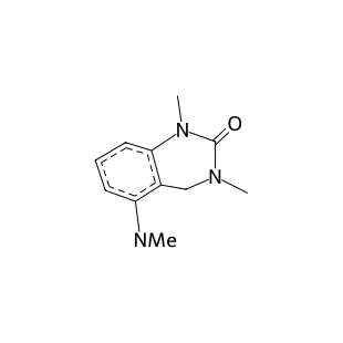 CNc1cccc2c1CN(C)C(=O)N2C